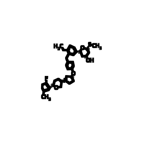 CCc1ccc([C@H]2C[C@@H](O)C[C@@H](SC)O2)cc1Cc1ccc(O[C@@H]2CCN([C@H]3CC[C@@H](C4=C(F)CCC(C)=C4)OC3)C2)cc1